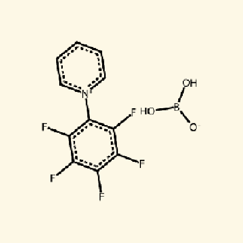 Fc1c(F)c(F)c(-[n+]2ccccc2)c(F)c1F.[O-]B(O)O